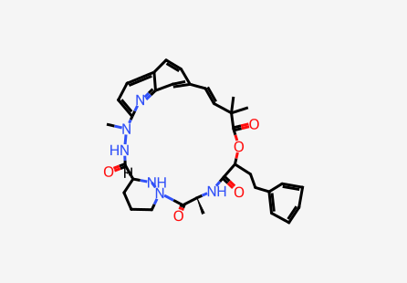 C[C@@H]1NC(=O)C(CCc2ccccc2)OC(=O)C(C)(C)/C=C/c2ccc3ccc(nc3c2)N(C)NC(=O)[C@@H]2CCCN(N2)C1=O